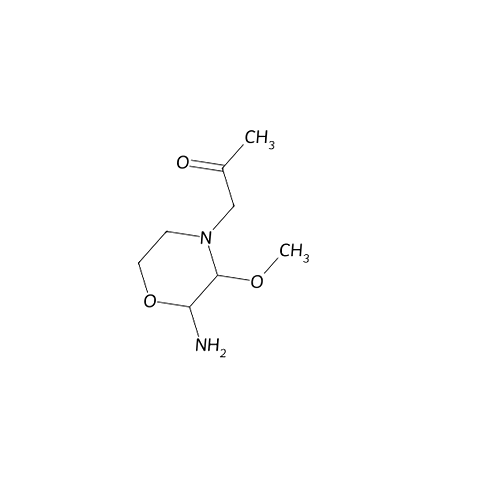 COC1C(N)OCCN1CC(C)=O